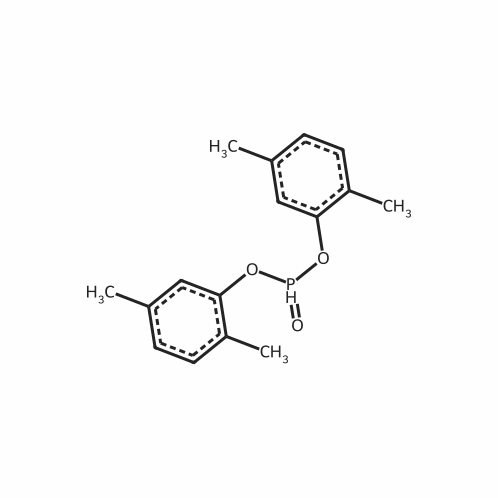 Cc1ccc(C)c(O[PH](=O)Oc2cc(C)ccc2C)c1